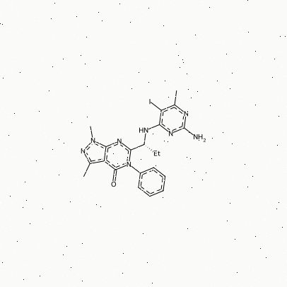 CC[C@@H](Nc1nc(N)nc(C)c1I)c1nc2c(c(C)nn2C)c(=O)n1-c1ccccc1